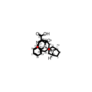 C[C@@]12CC[C@@H](C[C@@H](n3c(=O)c(C(=O)O)nc4ccccc43)C1)N2C1CCCCCCC1